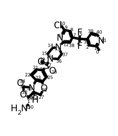 Cc1cc(C(F)(F)c2cc(Cl)nc(N3CCN(S(=O)(=O)c4ccc5c(c4)OC[C@@H]4[C@H](CN)OC(=O)N54)CC3)c2)ccn1